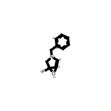 FC12CN(Cc3ccccc3)C=C1O2